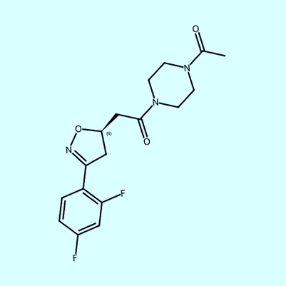 CC(=O)N1CCN(C(=O)C[C@H]2CC(c3ccc(F)cc3F)=NO2)CC1